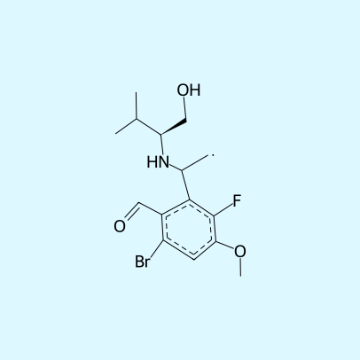 [CH2]C(N[C@H](CO)C(C)C)c1c(F)c(OC)cc(Br)c1C=O